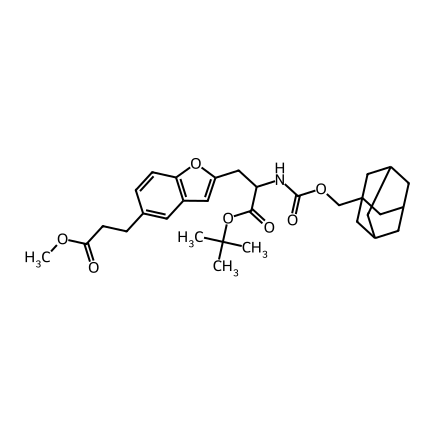 COC(=O)CCc1ccc2oc(CC(NC(=O)OCC34CC5CC(CC(C5)C3)C4)C(=O)OC(C)(C)C)cc2c1